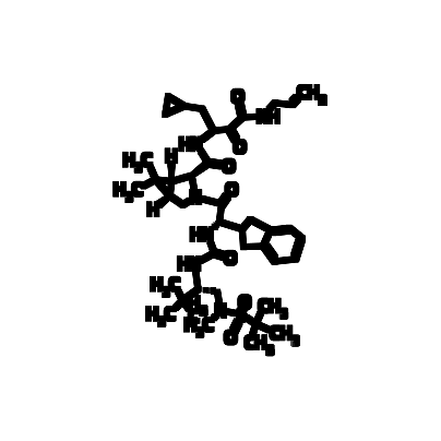 C=CCNC(=O)C(=O)C(CC1CC1)NC(=O)[C@@H]1[C@@H]2[C@H](CN1C(=O)[C@@H](NC(=O)N[C@H](CN(C)S(=O)(=O)C(C)(C)C)C(C)(C)C)C1Cc3ccccc3C1)C2(C)C